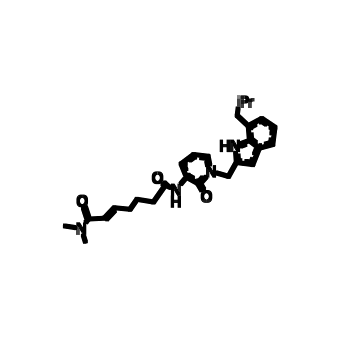 CC(C)Cc1cccc2cc(Cn3cccc(NC(=O)CCC/C=C/C(=O)N(C)C)c3=O)[nH]c12